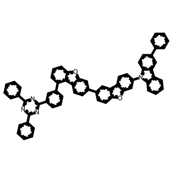 c1ccc(-c2ccc3c(c2)c2ccccc2n3-c2ccc3c(c2)oc2ccc(-c4ccc5c(c4)oc4cccc(-c6cccc(-c7nc(-c8ccccc8)nc(-c8ccccc8)n7)c6)c45)cc23)cc1